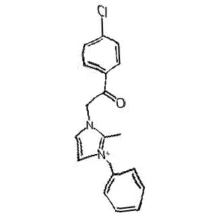 Cc1n(CC(=O)c2ccc(Cl)cc2)cc[n+]1-c1ccccc1